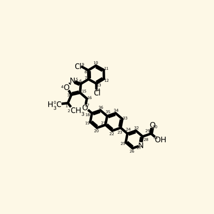 CC(C)c1onc(-c2c(Cl)cccc2Cl)c1COc1ccc2cc(-c3ccnc(C(=O)O)c3)ccc2c1